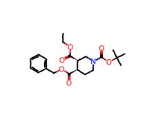 CCOC(=O)[C@H]1CN(C(=O)OC(C)(C)C)CC[C@H]1C(=O)OCc1ccccc1